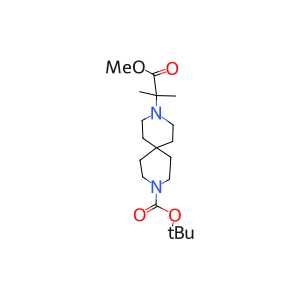 COC(=O)C(C)(C)N1CCC2(CCN(C(=O)OC(C)(C)C)CC2)CC1